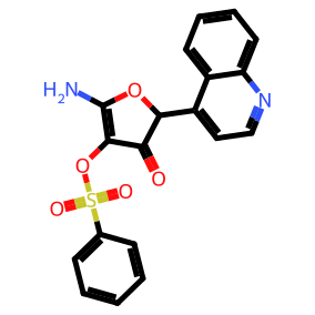 NC1=C(OS(=O)(=O)c2ccccc2)C(=O)C(c2ccnc3ccccc23)O1